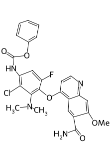 COc1cc2nccc(Oc3c(F)cc(NC(=O)Oc4ccccc4)c(Cl)c3N(C)C)c2cc1C(N)=O